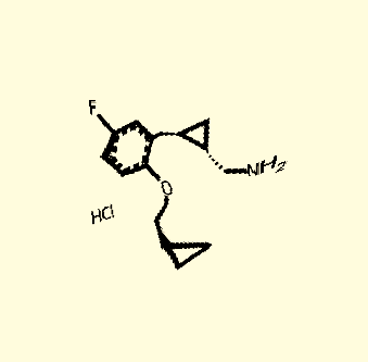 Cl.NC[C@H]1C[C@@H]1c1cc(F)ccc1OCC1CC1